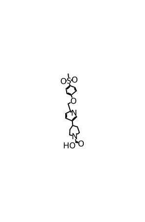 CS(=O)(=O)c1ccc(OCc2ccc(C3CCN(C(=O)O)CC3)cn2)cc1